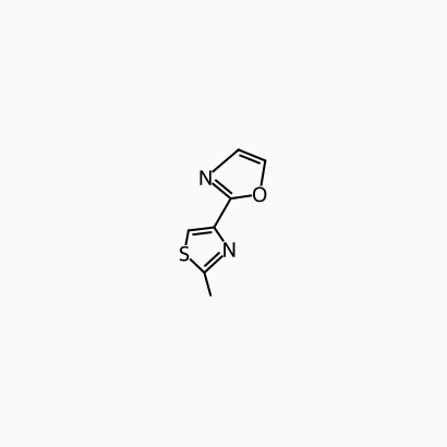 Cc1nc(-c2ncco2)cs1